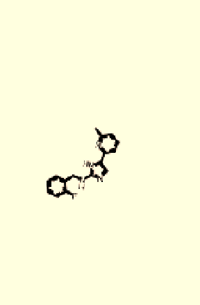 Cc1cccc(-c2cnc(NCc3ccccc3F)[nH]2)n1